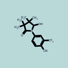 CC1(C)C(=O)N(c2ccc(C#N)c(C(F)(F)F)c2)C(O)C1(C)C